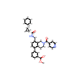 COC(=O)c1cccc(-c2ccc(CNC(=O)[C@@H]3C[C@@H]3c3ccccc3)c3c2CCN(C(=O)c2ccncc2)C3)c1